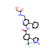 Cn1ccc(-c2cc(C(=O)Nc3cnc(CNC(=O)CO)cc3-c3ccccc3)ccc2C(F)(F)F)n1